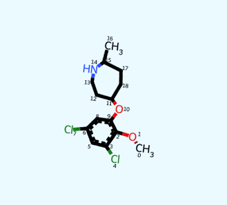 COc1c(Cl)cc(Cl)cc1OC1CCNC(C)CC1